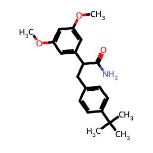 COc1cc(OC)cc(C(Cc2ccc(C(C)(C)C)cc2)C(N)=O)c1